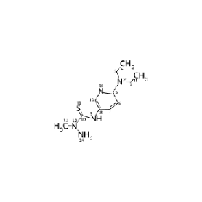 CCN(CC)c1ccc(NC(=S)N(C)N)cn1